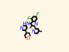 Cc1ccnc(-c2nc3cc(F)cc(F)c3c(Nc3cncc(C4=CCOCC4)c3)c2C)c1